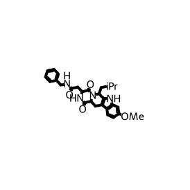 COc1ccc2c3c([nH]c2c1)C(CC(C)C)N1C(=O)C(CC(=O)NCc2ccccc2)NC(=O)C1C3